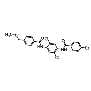 CBCc1ccc(C(=O)Nc2cc(Cl)c(NC(=O)c3ccc(CC)cc3)cc2Cl)cc1